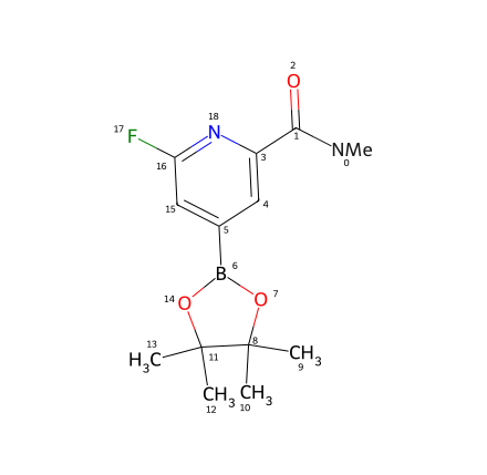 CNC(=O)c1cc(B2OC(C)(C)C(C)(C)O2)cc(F)n1